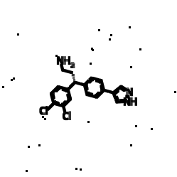 NCC[C@H](c1ccc(-c2cn[nH]c2)cc1)c1ccc(Cl)c(Cl)c1